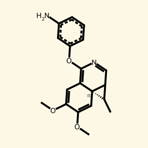 COC1=CC2=C(Oc3cccc(N)c3)N=CC3C(C)[C@]23C=C1OC